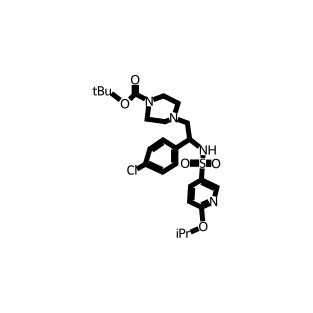 CC(C)Oc1ccc(S(=O)(=O)NC(CN2CCN(C(=O)OC(C)(C)C)CC2)c2ccc(Cl)cc2)cn1